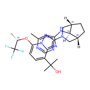 Cc1cc(N2C[C@H]3CC[C@@H](C2)[C@@H]3Nc2nc3c(C(C)(C)O)ccc(O[C@@H](C)C(F)(F)F)n3n2)ncn1